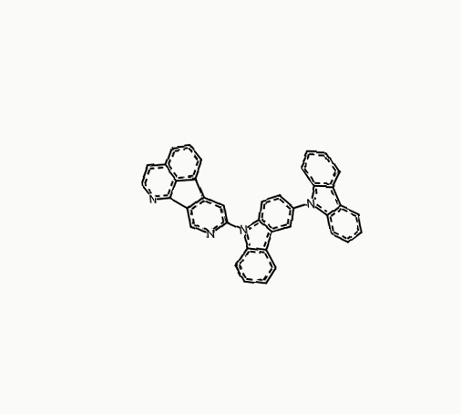 c1cc2c3c(nccc3c1)-c1cnc(-n3c4ccccc4c4cc(-n5c6ccccc6c6ccccc65)ccc43)cc1-2